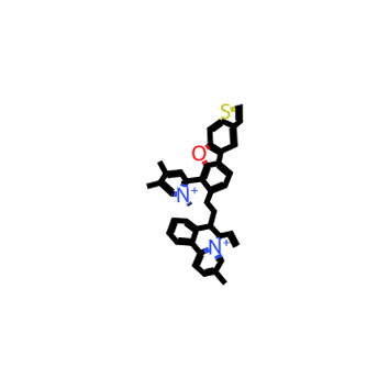 C=CC1C(CCc2ccc3c(oc4cc5sccc5cc43)c2-c2cc(C)c(C)c[n+]2C)c2ccccc2-c2ccc(C)c[n+]21